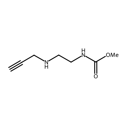 C#CCNCCNC(=O)OC